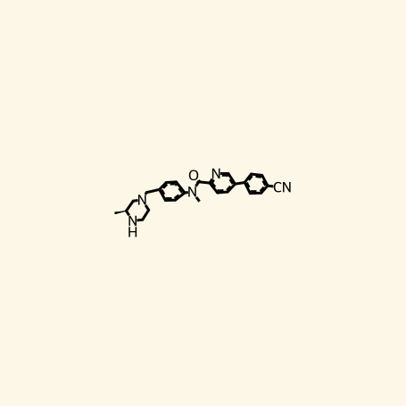 C[C@H]1CN(Cc2ccc(N(C)C(=O)c3ccc(-c4ccc(C#N)cc4)cn3)cc2)CCN1